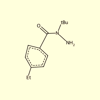 CCc1ccc(C(=O)N(N)C(C)(C)C)cc1